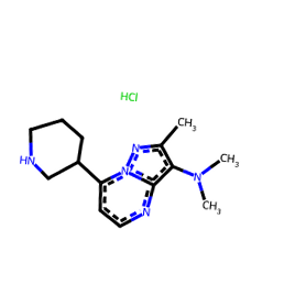 Cc1nn2c(C3CCCNC3)ccnc2c1N(C)C.Cl